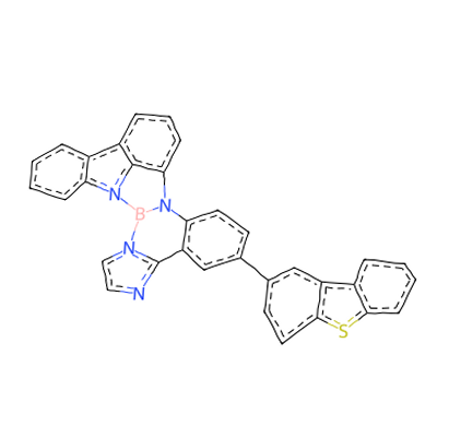 c1ccc2c(c1)sc1ccc(-c3ccc4c(c3)-c3nccn3B3N4c4cccc5c6ccccc6n3c45)cc12